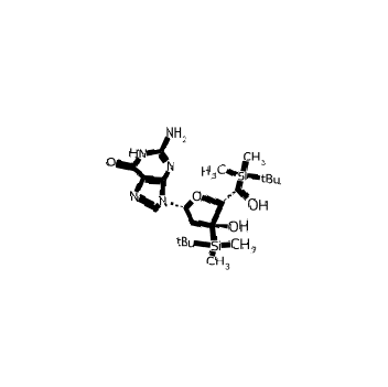 CC(C)(C)[Si](C)(C)C(O)[C@H]1O[C@@H](n2cnc3c(=O)[nH]c(N)nc32)C[C@@]1(O)[Si](C)(C)C(C)(C)C